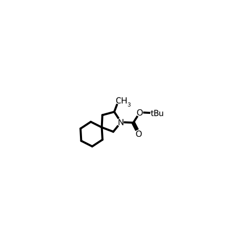 CC1CC2(CCCCC2)CN1C(=O)OC(C)(C)C